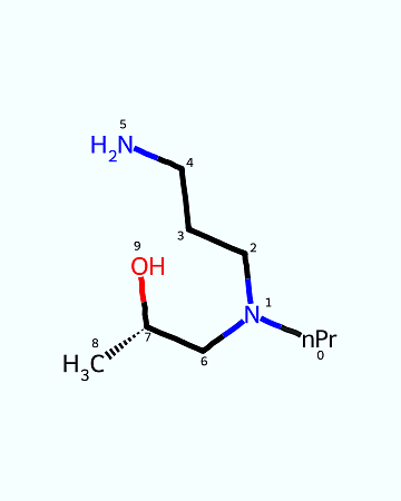 CCCN(CCCN)C[C@H](C)O